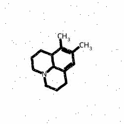 CC1=C(C)C2CCCN3CCCC(=C1)C23